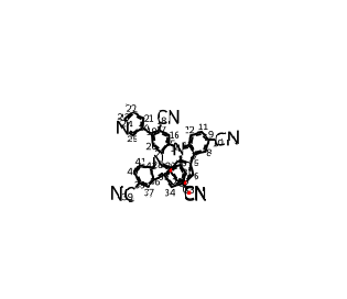 N#Cc1ccc2c(c1)c1cc(C#N)ccc1n2-c1cc(C#N)c(-c2cccnc2)cc1-n1c2ccc(C#N)cc2c2cc(C#N)ccc21